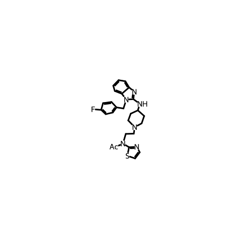 CC(=O)N(CCN1CCC(Nc2nc3ccccc3n2Cc2ccc(F)cc2)CC1)c1nccs1